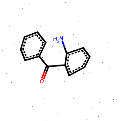 Nc1[c]cccc1C(=O)c1ccccc1